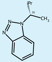 CC(C)[C@H](C)n1nnc2ccccc21